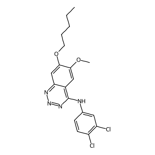 CCCCCOc1cc2nnnc(Nc3ccc(Cl)c(Cl)c3)c2cc1OC